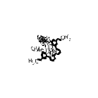 C=CCc1cc(OC)c(O)c(-c2cccc(-c3cccc(-c4cc(CC=C)cc(OC)c4O)n3)n2)c1.CC(=O)[O-].CC(=O)[O-].CC(=O)[O-].[Mn+3]